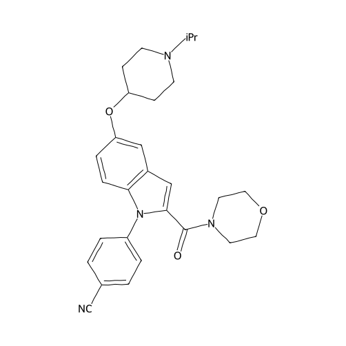 CC(C)N1CCC(Oc2ccc3c(c2)cc(C(=O)N2CCOCC2)n3-c2ccc(C#N)cc2)CC1